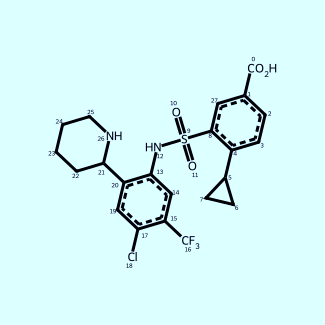 O=C(O)c1ccc(C2CC2)c(S(=O)(=O)Nc2cc(C(F)(F)F)c(Cl)cc2C2CCCCN2)c1